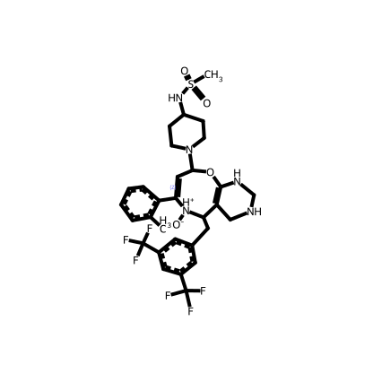 Cc1ccccc1/C1=C/C(N2CCC(NS(C)(=O)=O)CC2)OC2=C(CNCN2)C(Cc2cc(C(F)(F)F)cc(C(F)(F)F)c2)[NH+]1[O-]